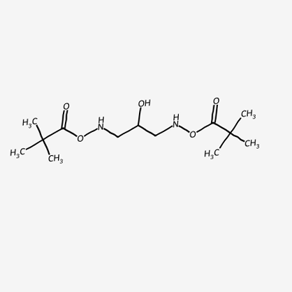 CC(C)(C)C(=O)ONCC(O)CNOC(=O)C(C)(C)C